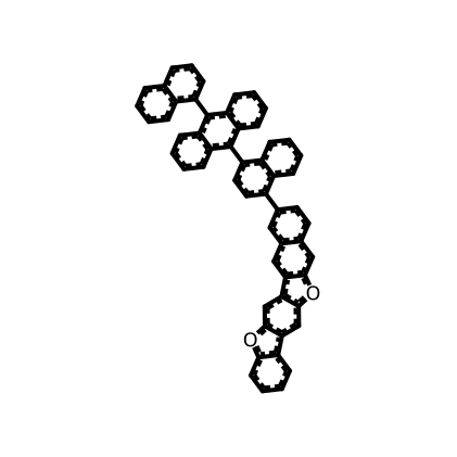 c1ccc2c(-c3c4ccccc4c(-c4ccc(-c5ccc6cc7oc8cc9c(cc8c7cc6c5)oc5ccccc59)c5ccccc45)c4ccccc34)cccc2c1